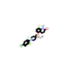 O=C1CCc2c(OCC3(C(=O)O)CCN(c4c(F)cc(Cl)cc4F)CC3)ccc(F)c2N1